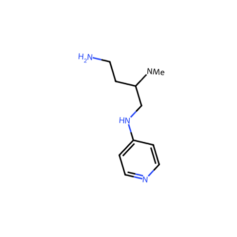 CNC(CCN)CNc1ccncc1